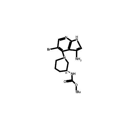 CC(C)(C)OC(=O)N[C@@H]1CCCN(c2c(Br)cnc3[nH]cc(N)c23)C1